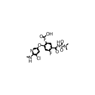 CNc1ncc(Oc2cc(F)c(C(=O)NS(=O)(=O)N(C)C)cc2F)cc1Cl.O=CO